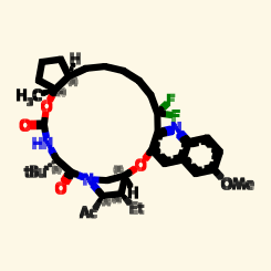 CC[C@@H]1[C@@H]2CN(C(=O)[C@H](C(C)(C)C)NC(=O)O[C@]3(C)CCC[C@H]3CCCCCC(F)(F)c3nc4ccc(OC)cc4cc3O2)[C@@H]1C(C)=O